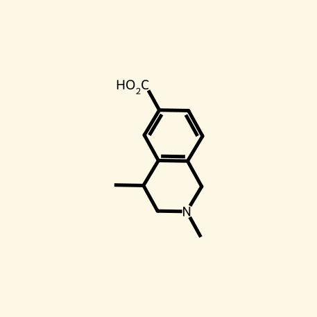 CC1CN(C)Cc2ccc(C(=O)O)cc21